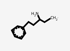 [CH2]CC(N)CCc1ccccc1